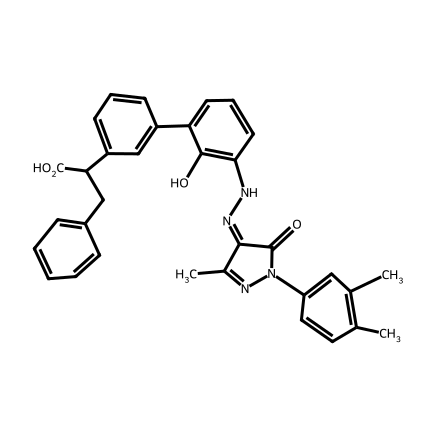 CC1=NN(c2ccc(C)c(C)c2)C(=O)C1=NNc1cccc(-c2cccc(C(Cc3ccccc3)C(=O)O)c2)c1O